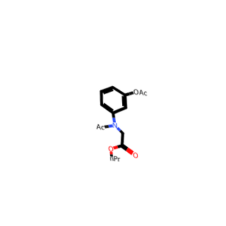 CCCOC(=O)CN(C(C)=O)c1cccc(OC(C)=O)c1